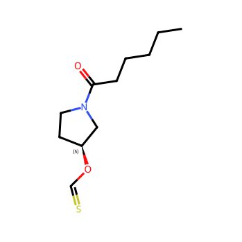 CCCCCC(=O)N1CC[C@H](OC=S)C1